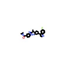 CC(c1nc2cc(C(=O)N3CC3)ccc2[nH]1)C1CCC(c2ccnc3ccc(F)cc23)CC1